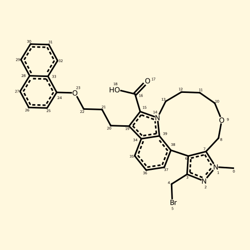 Cn1nc(CBr)c2c1COCCCCn1c(C(=O)O)c(CCCOc3cccc4ccccc34)c3cccc-2c31